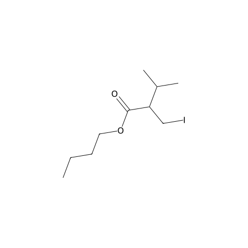 CCCCOC(=O)C(CI)C(C)C